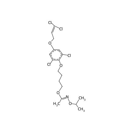 CC(=NOC(C)C)OCCCCOc1c(Cl)cc(OCC=C(Cl)Cl)cc1Cl